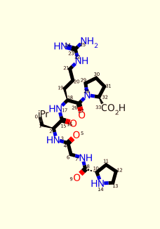 CC(C)C[C@H](NC(=O)CNC(=O)[C@@H]1CCCN1)C(=O)N[C@@H](CCCNC(=N)N)C(=O)N1CCC[C@H]1C(=O)O